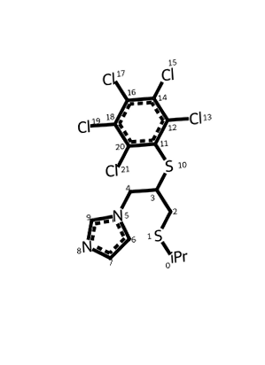 CC(C)SCC(Cn1ccnc1)Sc1c(Cl)c(Cl)c(Cl)c(Cl)c1Cl